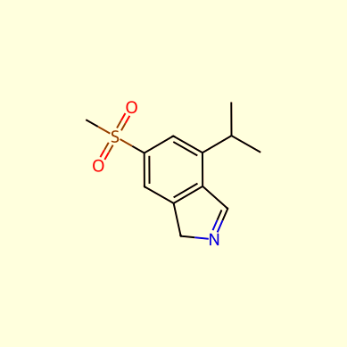 CC(C)c1cc(S(C)(=O)=O)cc2c1C=NC2